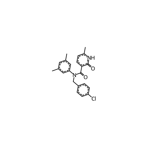 Cc1cc(C)cc(N(Cc2ccc(Cl)cc2)C(=O)c2ccc(C)[nH]c2=O)c1